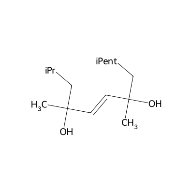 CCCC(C)CC(C)(O)C=CC(C)(O)CC(C)C